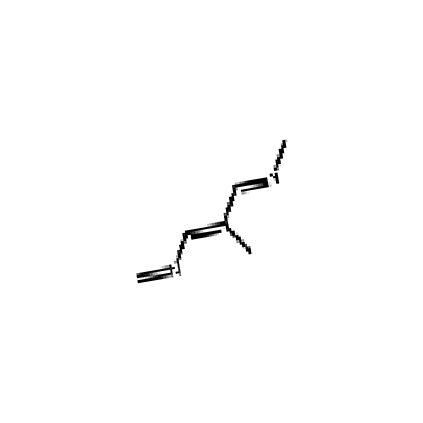 C=N/C=C(C)/C=N/C